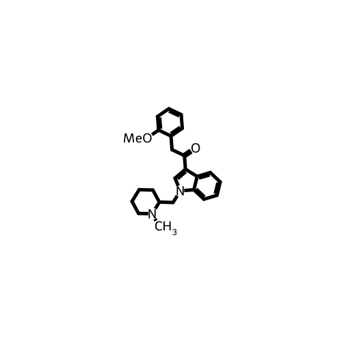 COc1ccccc1CC(=O)c1cn(CC2CCCCN2C)c2ccccc12